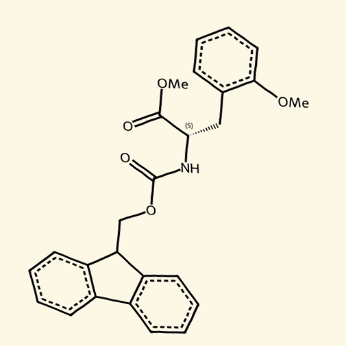 COC(=O)[C@H](Cc1ccccc1OC)NC(=O)OCC1c2ccccc2-c2ccccc21